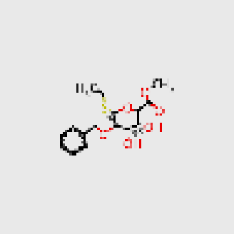 CCS[C@@H]1OC(C(=O)OC)[C@H](O)[C@H](O)C1OCc1ccccc1